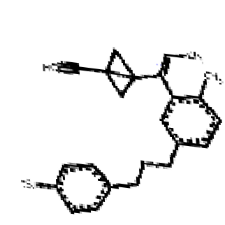 C#CC12CC1(/C(=C/C)c1cc(CCCc3ccc(C(C)(C)C)cc3)ccc1C)C2